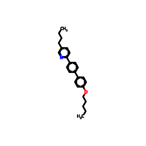 CCCCCOc1ccc(-c2ccc(-c3ccc(CCCC)cn3)cc2)cc1